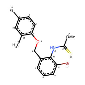 CCc1ccc(OCc2cccc(Br)c2NC(=S)OC)c(C)c1